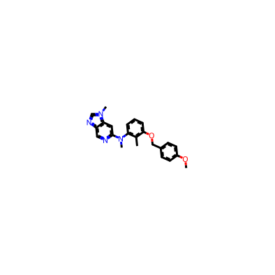 COc1ccc(COc2cccc(N(C)c3cc4c(cn3)ncn4C)c2C)cc1